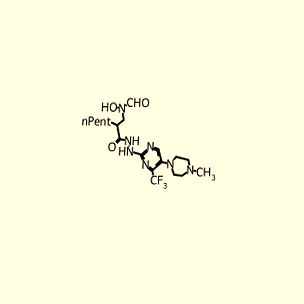 CCCCCC(CN(O)C=O)C(=O)NNc1ncc(N2CCN(C)CC2)c(C(F)(F)F)n1